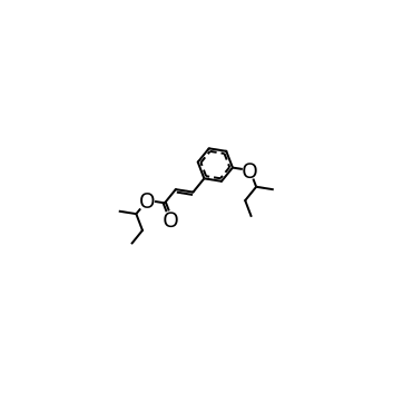 CCC(C)OC(=O)/C=C/c1cccc(OC(C)CC)c1